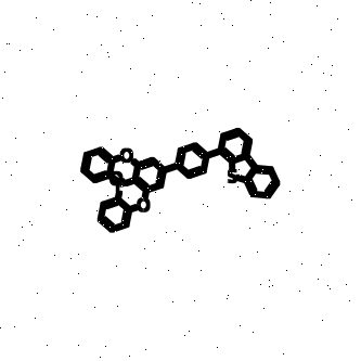 O=P12c3ccccc3Oc3cc(-c4ccc(-c5cccc6c5sc5ccccc56)cc4)cc(c31)Oc1ccccc12